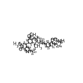 CCc1cc(-c2cn(C)c(=O)c3cnc(N4CCC4)cc23)cc(OC)c1CN1CCC2(CC1)CN(c1ccc3c(c1)C(=O)N(C1CCCNC1=O)C3)C2